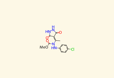 COC(=O)N(Nc1ccc(Cl)cc1)C(C)=C1C(=O)NNC1=O